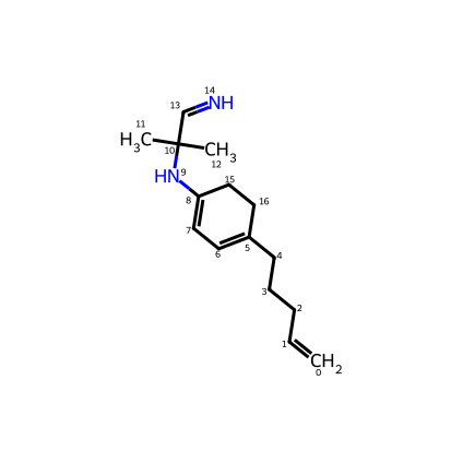 C=CCCCC1=CC=C(NC(C)(C)C=N)CC1